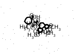 COc1cc2c(c(OC)c1OC)-c1ccc(OC)c(=O)cc1[C@@H](NC(=O)[C@H](C[C@]1(C(=O)O)CCCCCC(C)CC1)NC(C)=O)CC2